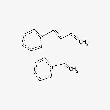 C=CC=Cc1ccccc1.C=Cc1ccccc1